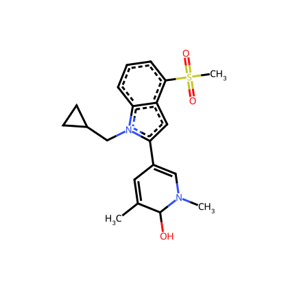 CC1=CC(c2cc3c(S(C)(=O)=O)cccc3n2CC2CC2)=CN(C)C1O